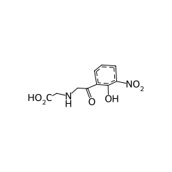 O=C(O)CNCC(=O)c1cccc([N+](=O)[O-])c1O